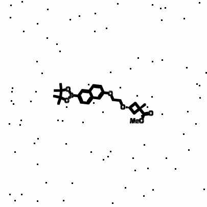 COC(=O)[C@]1(C)C[C@H](OCCOc2ccc3cc(B4OC(C)(C)C(C)(C)O4)ccc3c2)C1